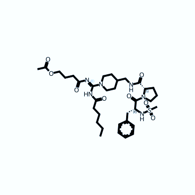 CCCCCC(=O)N/C(=N\C(=O)CCCOC(C)=O)N1CCC(CNC(=O)[C@@H]2CCCN2C(=O)[C@@H](Cc2ccccc2)NS(C)(=O)=O)CC1